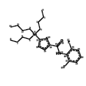 CCC[CH2][Sn]([CH2]CCC)([CH2]CCC)[c]1ccc(C(=O)Nc2c(F)cccc2F)s1